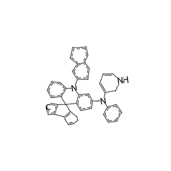 C1=CNCC(N(c2ccccc2)c2ccc3c(c2)N(c2ccc4ccccc4c2)c2ccccc2C32C3=C(C=CCC3)c3ccccc32)=C1